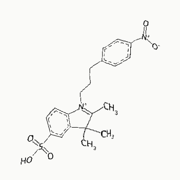 CC1=[N+](CCCc2ccc([N+](=O)[O-])cc2)c2ccc(S(=O)(=O)O)cc2C1(C)C